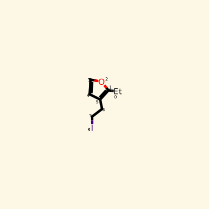 CCc1occc1CCI